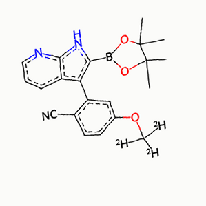 [2H]C([2H])([2H])Oc1ccc(C#N)c(-c2c(B3OC(C)(C)C(C)(C)O3)[nH]c3ncccc23)c1